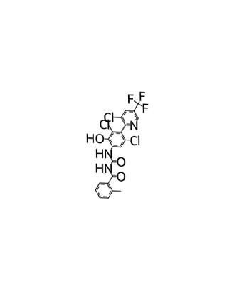 Cc1ccccc1C(=O)NC(=O)Nc1cc(Cl)c(-c2ncc(C(F)(F)F)cc2Cl)c(Cl)c1O